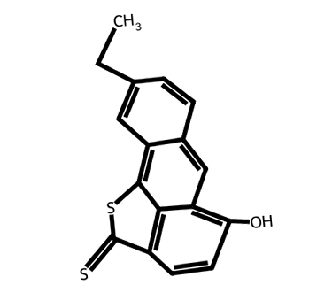 CCc1ccc2cc3c(O)ccc4c3c(c2c1)SC4=S